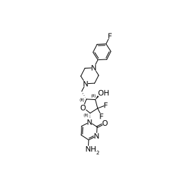 Nc1ccn([C@@H]2O[C@H](CN3CCN(c4ccc(F)cc4)CC3)[C@@H](O)C2(F)F)c(=O)n1